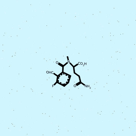 CN(C(=O)c1cccc(F)c1C=O)C(CCC(N)=O)C(=O)O